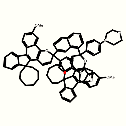 COc1ccc2c3c(c4c(c2c1)OC(c1ccc(N2CCOCC2)cc1)(c1ccc2cccc(C5(c6ccc(N7CCOCC7)cc6)C=Cc6c7c(c8ccc(OC)cc8c6O5)-c5ccccc5C75CCCCCCC5)c2c1)C=C4)C1(CCCCCCC1)c1ccccc1-3